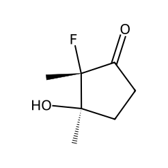 C[C@@]1(O)CCC(=O)[C@@]1(C)F